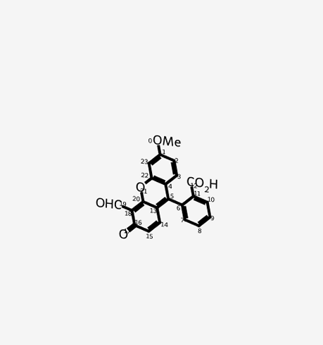 COc1ccc2c(-c3ccccc3C(=O)O)c3ccc(=O)c(C=O)c-3oc2c1